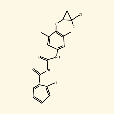 Cc1cc(NC(=O)NC(=O)c2ccccc2Cl)cc(C)c1OC1CC1(Cl)Cl